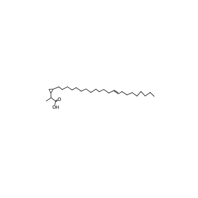 CCCCCCCCC=CCCCCCCCCCCCCC1CC1C(C)C(=O)O